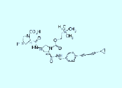 C[Si](C)(C)CCOC(=O)N1C[C@H](NC(=O)[C@@H]2C[C@H](F)CN2C(=O)O)C[C@@H]1C(=O)NCc1ccc(C#CC#CC2CC2)cc1